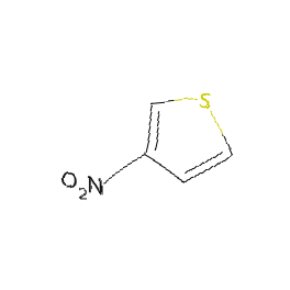 O=[N+]([O-])c1ccsc1